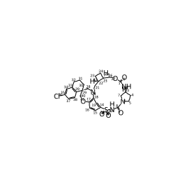 O=C1N[C@@H]2CCN(C2)C(=O)NS(=O)(=O)c2ccc3c(c2)N(C[C@@H]2CC[C@H]2CO1)C[C@@]1(CCCc2cc(Cl)ccc21)CO3